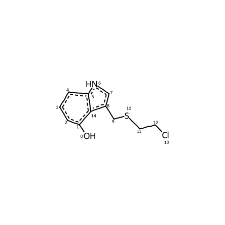 Oc1cccc2[nH]cc(CSCCCl)c12